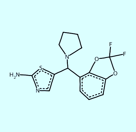 Nc1ncc(C(c2cccc3c2OC(F)(F)O3)N2CCCC2)s1